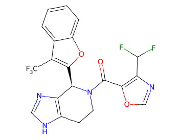 O=C(c1ocnc1C(F)F)N1CCc2[nH]cnc2[C@H]1c1oc2ccccc2c1C(F)(F)F